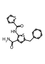 NC(=O)c1cc(Cc2ccccc2)sc1NC(=O)c1cccs1